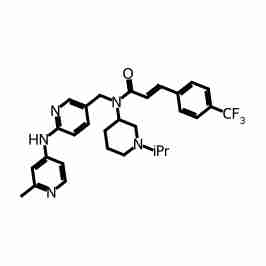 Cc1cc(Nc2ccc(CN(C(=O)C=Cc3ccc(C(F)(F)F)cc3)C3CCCN(C(C)C)C3)cn2)ccn1